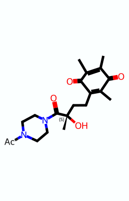 CC(=O)N1CCN(C(=O)[C@@](C)(O)CCC2=C(C)C(=O)C(C)=C(C)C2=O)CC1